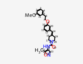 COc1cccc(CCOc2cccc(C=C3CCN(C(=O)Nc4cnoc4C)CC3)c2)c1